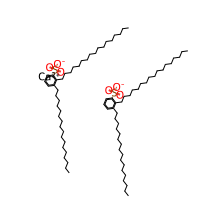 CCCCCCCCCCCCCCCCCc1cccc(S(=O)(=O)[O-])c1CCCCCCCCCCCCCCCCC.CCCCCCCCCCCCCCCCCc1cccc(S(=O)(=O)[O-])c1CCCCCCCCCCCCCCCCC.[Ca+2]